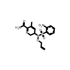 C=CCON(C1C=C(C)C(C(N)=O)=NC1)S(=O)(=O)c1ccccc1[N+](=O)[O-]